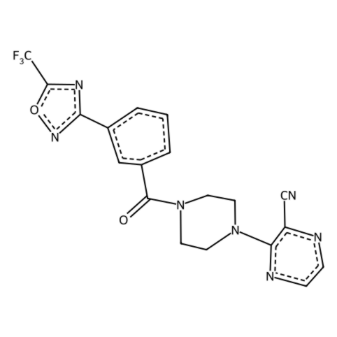 N#Cc1nccnc1N1CCN(C(=O)c2cccc(-c3noc(C(F)(F)F)n3)c2)CC1